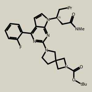 CNC(=O)C[C@H](CC(C)C)n1ccc2c(-c3ccccc3F)nc(N3CCC4(CN(C(=O)OC(C)(C)C)C4)C3)nc21